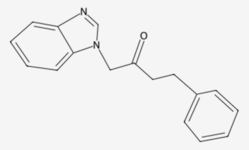 O=C(CCc1ccccc1)Cn1cnc2ccccc21